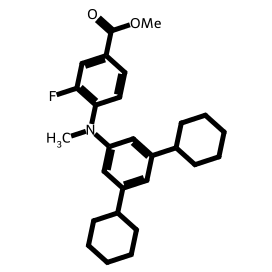 COC(=O)c1ccc(N(C)c2cc(C3CCCCC3)cc(C3CCCCC3)c2)c(F)c1